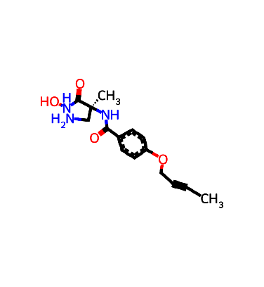 CC#CCOc1ccc(C(=O)N[C@@](C)(CN)C(=O)NO)cc1